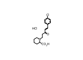 Cl.O=C(C=Cc1ccc(Cl)cc1)CCN1CCCCC1C(=O)O